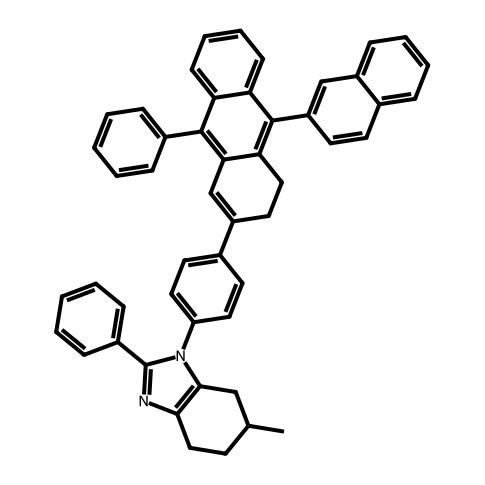 CC1CCc2nc(-c3ccccc3)n(-c3ccc(C4=Cc5c(c(-c6ccc7ccccc7c6)c6ccccc6c5-c5ccccc5)CC4)cc3)c2C1